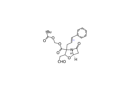 CC(C)(C)C(=O)OCOC(=O)C1(C/C=C/c2ccccc2)C(CC=O)O[C@@H]2CC(=O)N21